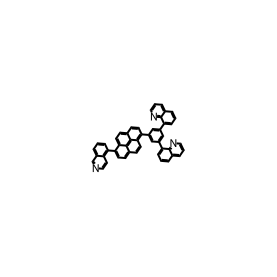 c1cc(-c2ccc3ccc4c(-c5cc(-c6cccc7cccnc67)cc(-c6cccc7cccnc67)c5)ccc5ccc2c3c54)c2ccncc2c1